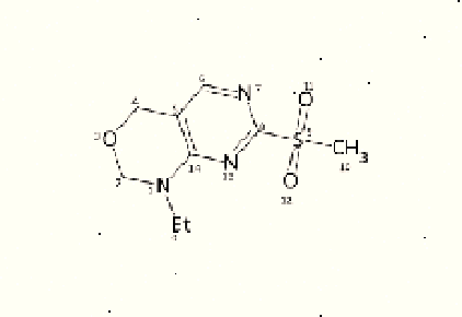 CCN1COCc2cnc(S(C)(=O)=O)nc21